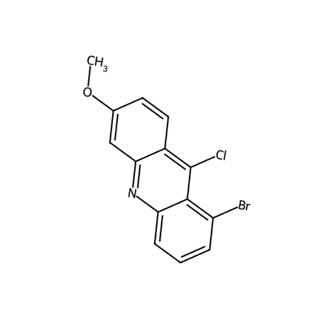 COc1ccc2c(Cl)c3c(Br)cccc3nc2c1